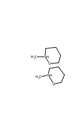 C[SiH]1CCCCO1.C[SiH]1CCCCO1